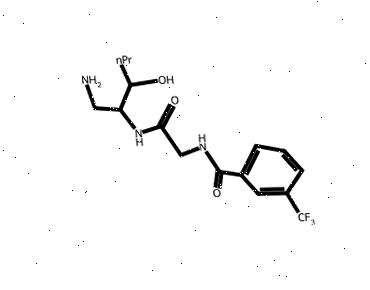 CCCC(O)C(CN)NC(=O)CNC(=O)c1cccc(C(F)(F)F)c1